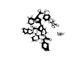 CN(C(=O)c1cc(-c2cc3c(cc2C(=O)N2Cc4ccccc4C[C@H]2CN2CCOCC2)CN(C(=O)Cc2ccccc2)CC3)n2c1CCCC2)c1ccc(OP(=O)([O-])[O-])cc1.[Na+].[Na+]